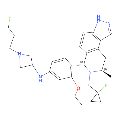 CCOc1cc(NC2CN(CCCF)C2)ccc1[C@@H]1c2ccc3[nH]ncc3c2C[C@@H](C)N1CC1(F)CC1